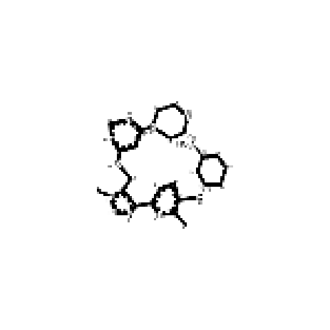 Cc1nc(-c2nnn(C)c2COc2cc(N3CCOCC3)ncn2)ccc1O[C@H]1CCC[C@H](C(=O)O)C1